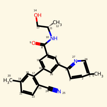 Cc1ccc(-c2cc(C(=O)N[C@@H](C)CO)cc(-c3cc(C)ccc3C#N)c2)nc1